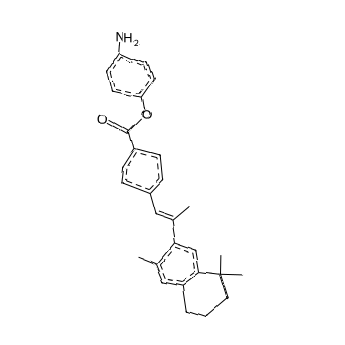 CC(=Cc1ccc(C(=O)Oc2ccc(N)cc2)cc1)c1cc2c(cc1C)CCCC2(C)C